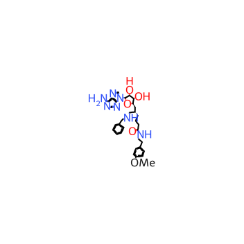 COc1ccc(CCNC(=O)CCC[C@H](CNCc2ccccc2)C[C@H]2O[C@@H](n3cnc4c(N)ncnc43)C(O)C2O)cc1